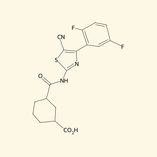 N#Cc1sc(NC(=O)C2CCCC(C(=O)O)C2)nc1-c1cc(F)ccc1F